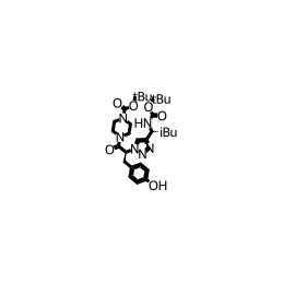 CC[C@@H](C)C(NC(=O)OC(C)(C)C)c1cn([C@@H](Cc2ccc(O)cc2)C(=O)N2CCN(C(=O)OC(C)(C)C)CC2)nn1